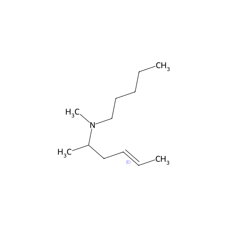 C/C=C/CC(C)N(C)CCCCC